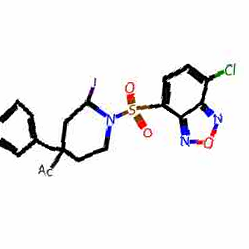 CC(=O)C1(c2ccccc2)CCN(S(=O)(=O)c2ccc(Cl)c3nonc23)C(I)C1